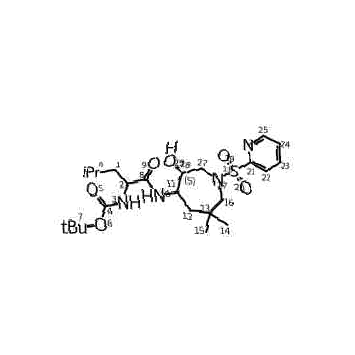 CC(C)CC(NC(=O)OC(C)(C)C)C(=O)NC1CC(C)(C)CN(S(=O)(=O)c2ccccn2)C[C@@H]1O